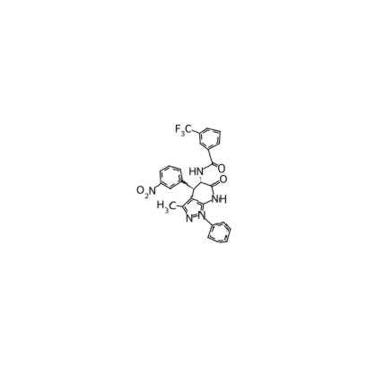 Cc1nn(-c2ccccc2)c2c1[C@@H](c1cccc([N+](=O)[O-])c1)[C@H](NC(=O)c1cccc(C(F)(F)F)c1)C(=O)N2